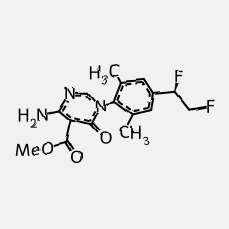 COC(=O)c1c(N)ncn(-c2c(C)cc([C@@H](F)CF)cc2C)c1=O